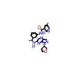 Cc1cncc(C(=O)Nc2cccc([C@H](C)Nc3cnc4cnn(C5CCOC5)c4n3)c2)c1